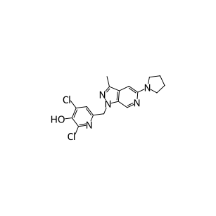 Cc1nn(Cc2cc(Cl)c(O)c(Cl)n2)c2cnc(N3CCCC3)cc12